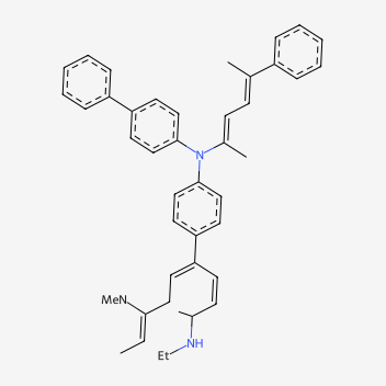 C/C=C(/C/C=C(\C=C/C(C)NCC)c1ccc(N(/C(C)=C/C=C(\C)c2ccccc2)c2ccc(-c3ccccc3)cc2)cc1)NC